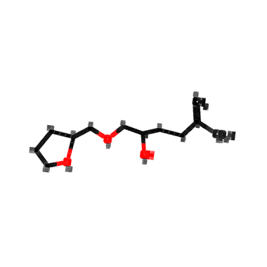 C=C(CCC(O)COCC1CCCO1)C(=O)O